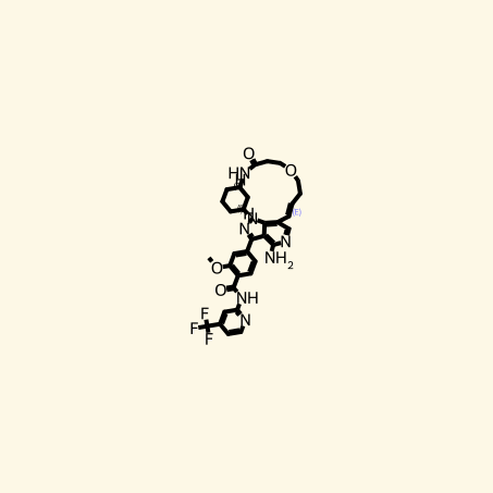 COc1cc(-c2nn3c4c(cnc(N)c24)/C=C/CCOCCC(=O)N[C@@H]2CCC[C@@H]3C2)ccc1C(=O)Nc1cc(C(F)(F)F)ccn1